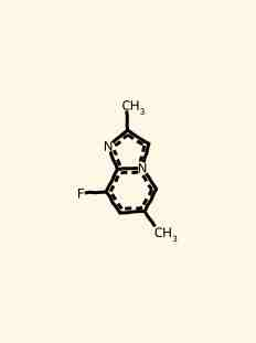 Cc1cc(F)c2nc(C)cn2c1